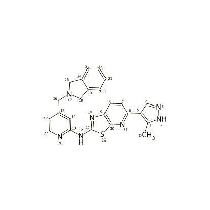 Cc1[nH]ncc1-c1ccc2nc(Nc3cc(CN4Cc5ccccc5C4)ccn3)sc2n1